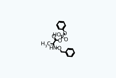 C[C@H](NOCc1ccccc1)C(=O)OP(=O)(O)Oc1ccccc1